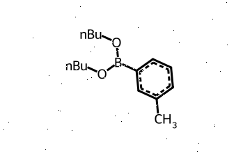 CCCCOB(OCCCC)c1cccc(C)c1